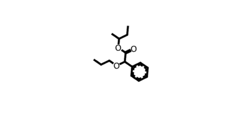 CCCOC(C(=O)OC(C)CC)c1ccccc1